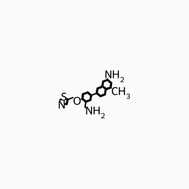 Cc1cc(N)cc2cc(-c3ccc(OCc4cncs4)c(CN)c3)ccc12